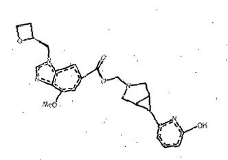 COc1cc(C(=O)OCN2CC3C(C2)C3c2cccc(O)n2)cc2c1ncn2C[C@@H]1CCO1